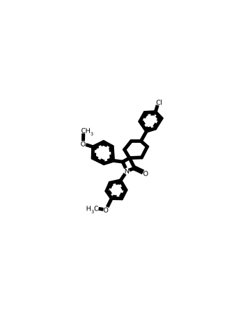 COc1ccc(C2N(c3ccc(OC)cc3)C(=O)C23CCC(c2ccc(Cl)cc2)CC3)cc1